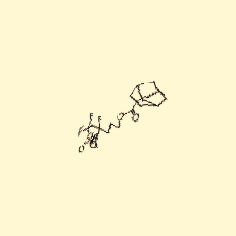 O=C(OCCCC(F)(F)C(F)(F)[SH](=O)=O)C12CC3CC(CC(C3)C1)C2